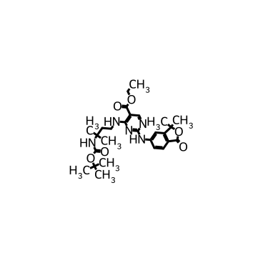 CCOC(=O)c1cnc(Nc2ccc3c(c2)C(C)(C)OC3=O)nc1NCCC(C)(C)NC(=O)OC(C)(C)C